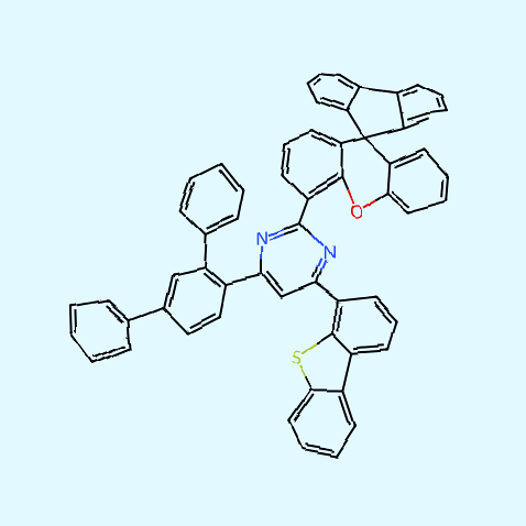 c1ccc(-c2ccc(-c3cc(-c4cccc5c4sc4ccccc45)nc(-c4cccc5c4Oc4ccccc4C54c5ccccc5-c5ccccc54)n3)c(-c3ccccc3)c2)cc1